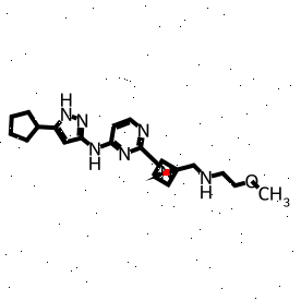 COCCNCC12CC(C1)N(c1nccc(Nc3cc(C4CCCC4)[nH]n3)n1)C2